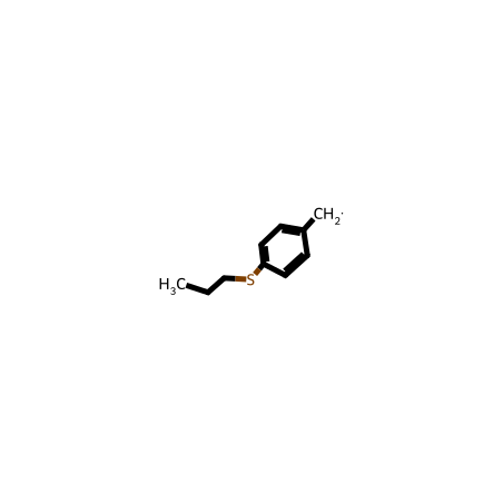 [CH2]c1ccc(SCCC)cc1